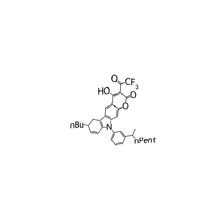 CCCCCC(C)c1cccc(-n2c3c(c4cc5c(O)c(C(=O)C(F)(F)F)c(=O)oc5cc42)CC(CCCC)C=C3)c1